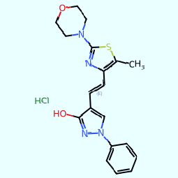 Cc1sc(N2CCOCC2)nc1/C=C/c1cn(-c2ccccc2)nc1O.Cl